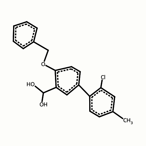 Cc1ccc(-c2ccc(OCc3ccccc3)c(C(O)O)c2)c(Cl)c1